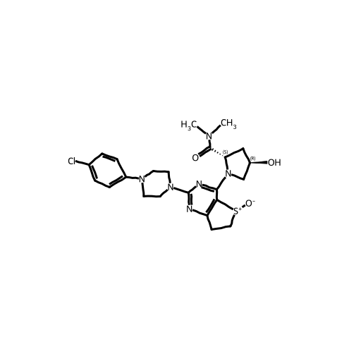 CN(C)C(=O)[C@@H]1C[C@@H](O)CN1c1nc(N2CCN(c3ccc(Cl)cc3)CC2)nc2c1[S+]([O-])CC2